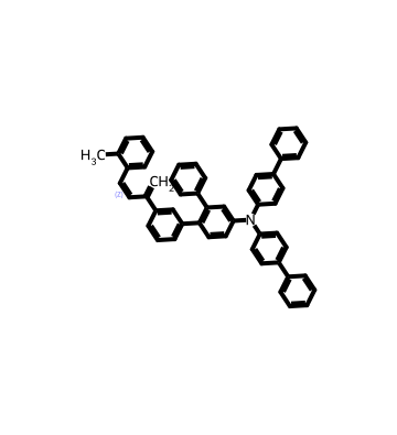 C=C(/C=C\c1ccccc1C)c1cccc(-c2ccc(N(c3ccc(-c4ccccc4)cc3)c3ccc(-c4ccccc4)cc3)cc2-c2ccccc2)c1